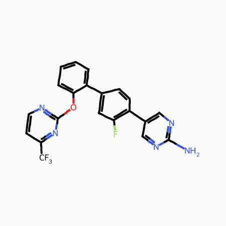 Nc1ncc(-c2ccc(-c3ccccc3Oc3nccc(C(F)(F)F)n3)cc2F)cn1